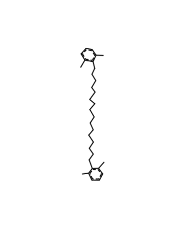 Cc1cccc(C)c1CCCCCCCCCCCCCCCCc1c(C)cccc1C